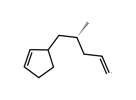 [CH]=CC[C@@H](C)CC1C=CCC1